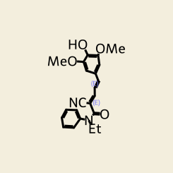 CCN(C(=O)/C(C#N)=C/C=C/c1cc(OC)c(O)c(OC)c1)c1ccccc1